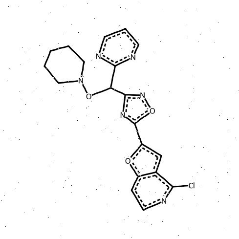 Clc1nccc2oc(-c3nc(C(ON4CCCCC4)c4ncccn4)no3)cc12